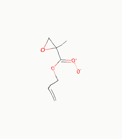 C=CCOC(=[O+][O-])C1(C)CO1